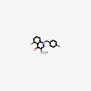 O=C(O)c1cn(Cc2ccc(F)cc2)c2cccc(F)c2c1=O